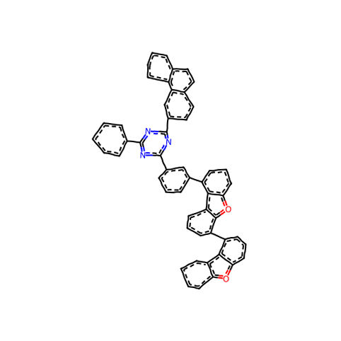 c1ccc(-c2nc(-c3cccc(-c4cccc5oc6c(-c7cccc8oc9ccccc9c78)cccc6c45)c3)nc(-c3ccc4ccc5ccccc5c4c3)n2)cc1